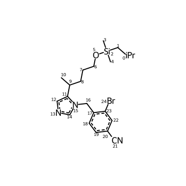 CC(C)C[Si](C)(C)OCCCC(C)c1cncn1Cc1ccc(C#N)cc1Br